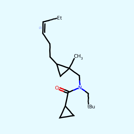 CC/C=C\CCC1CC1(C)CN(CC(C)(C)C)C(=O)C1CC1